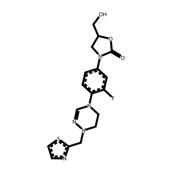 O=C1OC(CO)CN1c1ccc(N2C=NN(Cc3nccs3)CC2)c(F)c1